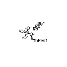 CCCCCCO[Si]([O-])([O-])[O-].[Rb+].[Rb+].[Rb+]